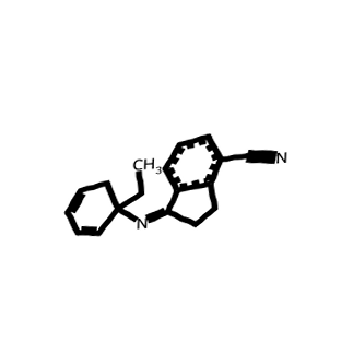 CCC1(/N=C2/CCc3c(C#N)cccc32)C=CC=CC1